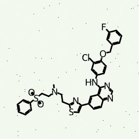 CN(CCc1nc(-c2ccc3ncnc(Nc4ccc(OCc5cccc(F)c5)c(Cl)c4)c3c2)cs1)CCS(=O)(=O)c1ccccc1